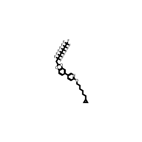 FC(F)(F)C(F)(F)C(F)(F)C(F)(F)C(F)(F)C(F)(F)CC1Oc2ccc(-c3ccc(OCCCCCCC4CC4)nc3)cc2O1